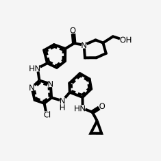 O=C(Nc1ccccc1Nc1nc(Nc2ccc(C(=O)N3CCCC(CO)C3)cc2)ncc1Cl)C1CC1